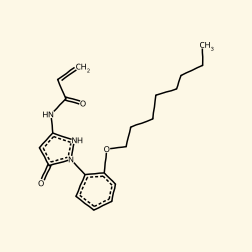 C=CC(=O)Nc1cc(=O)n(-c2ccccc2OCCCCCCCC)[nH]1